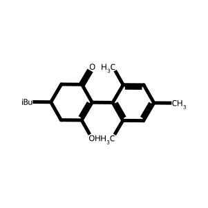 CCC(C)C1CC(=O)C(c2c(C)cc(C)cc2C)=C(O)C1